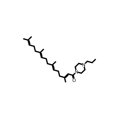 CCCN1CCN(C(=O)/C=C(\C)CC/C=C(\C)CC/C=C(\C)CCC=C(C)C)CC1